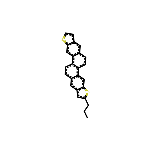 CCCc1cc2cc3ccc4c5cc6sccc6cc5ccc4c3cc2s1